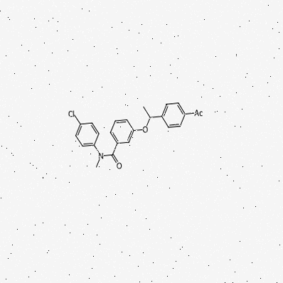 CC(=O)c1ccc(C(C)Oc2cccc(C(=O)N(C)c3ccc(Cl)cc3)c2)cc1